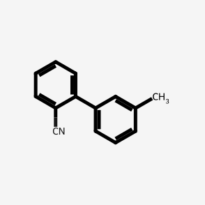 Cc1cccc(-c2ccccc2C#N)c1